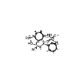 CC[PH](O)(OCc1ccccc1)c1cc(NS(C)(=O)=O)ccc1[N+](=O)[O-]